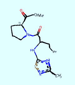 COC(=O)[C@@H]1CCCN1C(=O)C(CC(C)C)Nc1nc(C)ns1